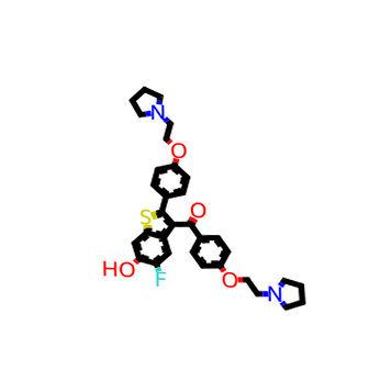 O=C(c1ccc(OCCN2CCCC2)cc1)c1c(-c2ccc(OCCN3CCCC3)cc2)sc2cc(O)c(F)cc12